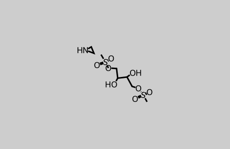 C1CN1.CS(=O)(=O)OCC(O)C(O)COS(C)(=O)=O